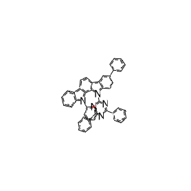 c1ccc(-c2ccc3c(c2)c2ccc4c5ccccc5n(-c5ccccc5)c4c2n3-c2nc(-c3ccccc3)nc(-c3ccccc3)n2)cc1